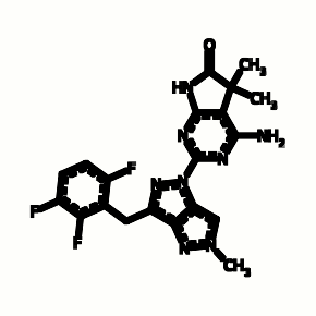 Cn1cc2c(n1)c(Cc1c(F)ccc(F)c1F)nn2-c1nc(N)c2c(n1)NC(=O)C2(C)C